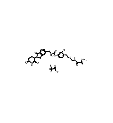 CC(N)C(=O)NCSCCc1ccc(NC(=O)NCc2ccc3c(c2)CN(C2CCC(=O)NC2=O)C3=O)cc1Cl.O=C(O)C(F)(F)F